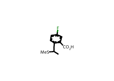 CSC(C)c1ccc(F)cc1C(=O)O